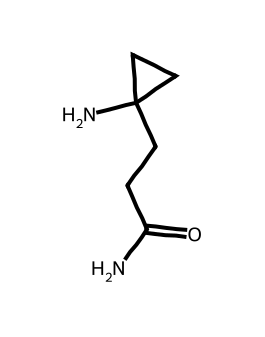 NC(=O)CCC1(N)CC1